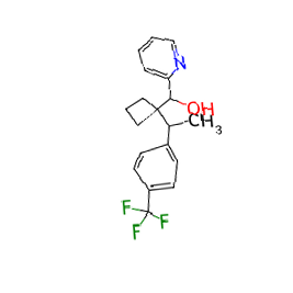 CC(c1ccc(C(F)(F)F)cc1)C1(C(O)c2ccccn2)CCC1